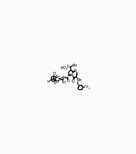 CC[C@H](NC(=O)[C@@H]1CC(C(C(=O)O)C(C)(C)C)c2ncc(NCc3cccc(C(F)(F)F)c3)c(=O)n21)B1O[C@@H]2C[C@@H]3C[C@@H](C3(C)C)[C@]2(C)O1